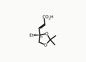 CC[C@]1(C=CC(=O)O)COC(C)(C)O1